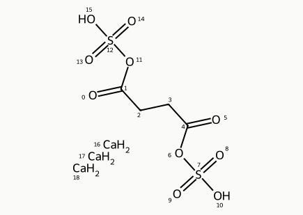 O=C(CCC(=O)OS(=O)(=O)O)OS(=O)(=O)O.[CaH2].[CaH2].[CaH2]